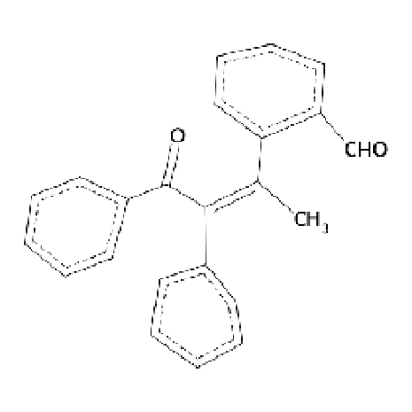 CC(=C(C(=O)c1ccccc1)c1ccccc1)c1ccccc1C=O